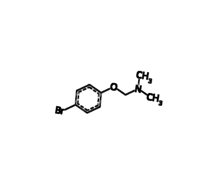 CN(C)COc1ccc(Br)cc1